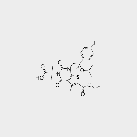 CCOC(=O)c1sc2c(c1C)c(=O)n(C(C)(C)C(=O)O)c(=O)n2C[C@H](OC(C)C)c1ccc(I)cc1